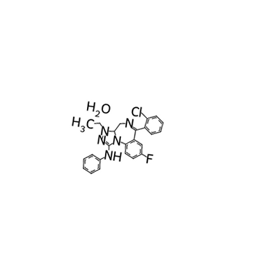 CCN1N=C(Nc2ccccc2)N2c3ccc(F)cc3C(c3ccccc3Cl)=NCC12.O